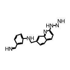 N=Cc1cccc(NCc2ccc3ccc(NN=N)nc3c2)c1